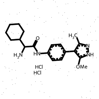 COc1[nH]nc(C)c1-c1ccc(NC(=O)C(N)C2CCCCC2)cc1.Cl.Cl